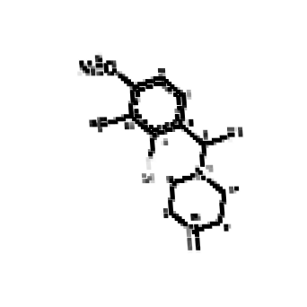 COc1ccc(C(F)N2CCNCC2)c(F)c1F